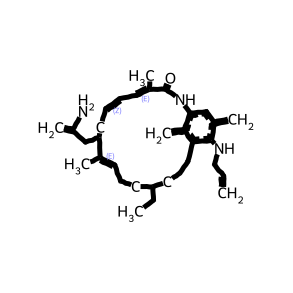 C=CCNc1c2c(=C)c(cc1=C)NC(=O)/C(C)=C/C=C\CC(CC(=C)N)/C(C)=C/CCC(CC)CCC2